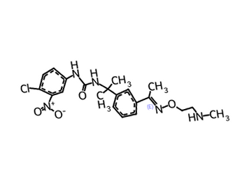 CNCCO/N=C(\C)c1cccc(C(C)(C)NC(=O)Nc2ccc(Cl)c([N+](=O)[O-])c2)c1